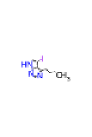 CCCCc1ncnc2[nH]cc(I)c12